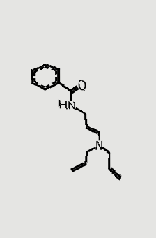 C=CCN(C=CCNC(=O)c1ccccc1)CC=C